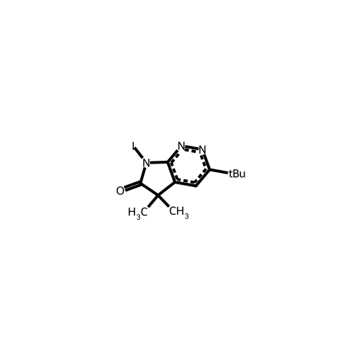 CC(C)(C)c1cc2c(nn1)N(I)C(=O)C2(C)C